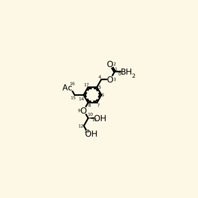 BC(=O)OCc1ccc(O[C@@H](O)CO)c(CC(C)=O)c1